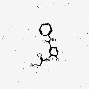 CC(=O)CC(=O)Nc1cc(C(=O)Nc2ccccc2)ccc1Cl